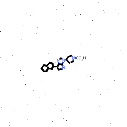 O=C(O)N1CCC(n2cnc3c(-c4ccc5ccccc5c4)ccnc32)CC1